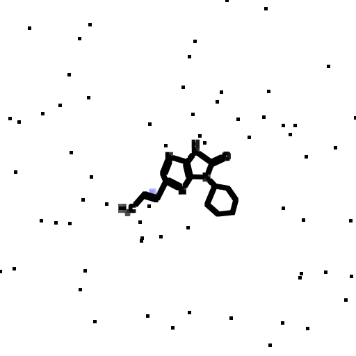 C/C=C/c1cnc2[nH]c(=O)n(C3CCCCC3)c2n1